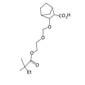 CCC(C)(C)C(=O)OCCOCOC1C2CCC(C2)C1C(=O)O